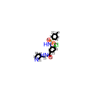 Cc1ccc(S(=O)(=O)Nc2cc(C(=O)NCc3cccnc3)ccc2Cl)cc1